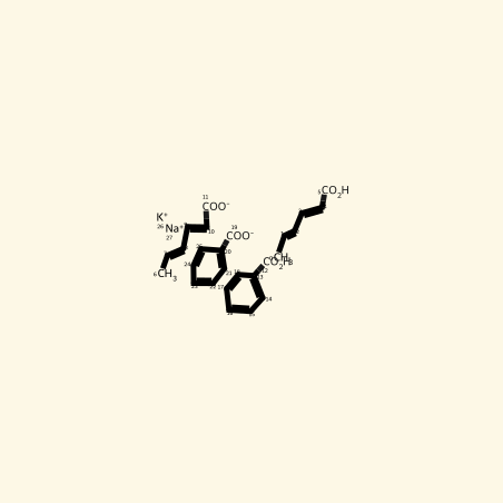 C/C=C/C=C/C(=O)O.C/C=C/C=C/C(=O)[O-].O=C(O)c1ccccc1.O=C([O-])c1ccccc1.[K+].[Na+]